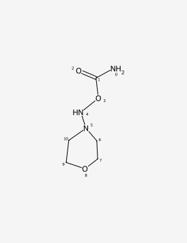 NC(=O)ONN1CCOCC1